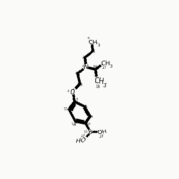 CCCN(CCOc1ccc(B(O)O)cc1)C(C)C